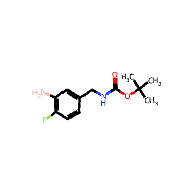 Bc1cc(CNC(=O)OC(C)(C)C)ccc1F